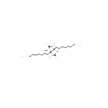 CCCCCCCCC12N(Cl)C(=O)N(Cl)C1(CCCCCCCC)N(Cl)C(=O)N2Cl